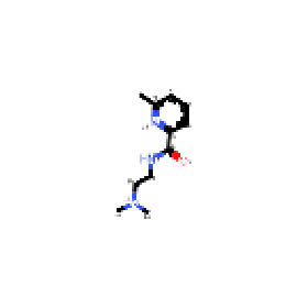 Cc1cccc(C(=O)NCCN(C)C)n1